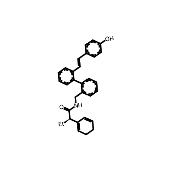 CC[C@@H](C(=O)NCc1ccccc1-c1ccccc1/C=C/c1ccc(O)cc1)C1=CCCC=C1